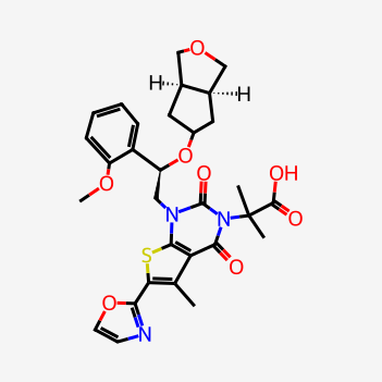 COc1ccccc1[C@H](Cn1c(=O)n(C(C)(C)C(=O)O)c(=O)c2c(C)c(-c3ncco3)sc21)OC1C[C@H]2COC[C@H]2C1